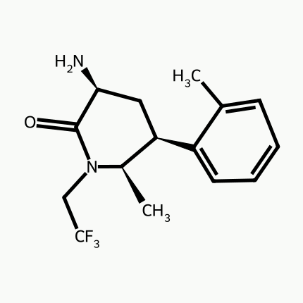 Cc1ccccc1[C@@H]1C[C@H](N)C(=O)N(CC(F)(F)F)[C@@H]1C